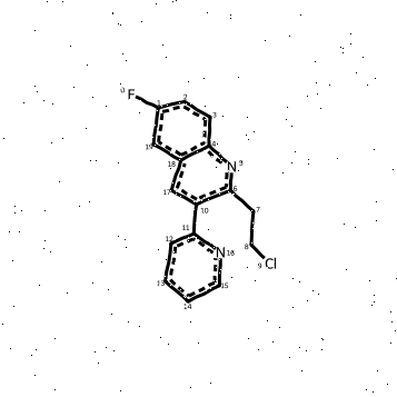 Fc1ccc2nc(CCCl)c(-c3ccccn3)cc2c1